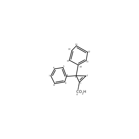 O=C(O)C1=CC1(c1ccccc1)c1ccccc1